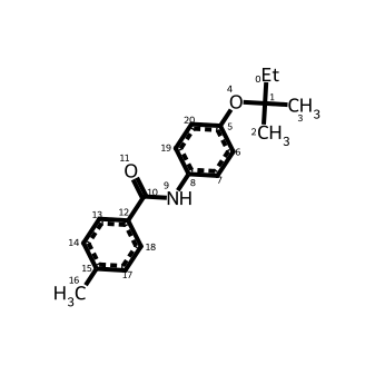 CCC(C)(C)Oc1ccc(NC(=O)c2ccc(C)cc2)cc1